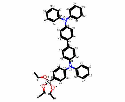 CCO[Si](OCC)(OCC)c1ccc(N(c2ccccc2)c2ccc(-c3ccc(N(c4ccccc4)c4ccccc4)cc3)cc2)cc1